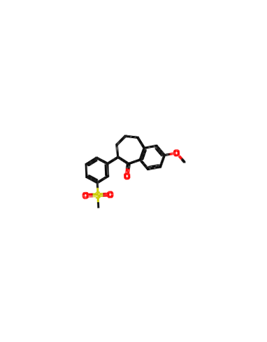 COc1ccc2c(c1)CCCC(c1cccc(S(C)(=O)=O)c1)C2=O